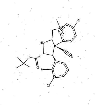 CC(C)(C)C[C@@H]1N[C@@H](C(=O)OC(C)(C)C)[C@H](c2cccc(Cl)c2F)[C@@]1(C#N)c1ccc(Cl)cn1